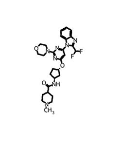 CN1CCC(C(=O)N[C@H]2CC[C@H](Oc3cc(-n4c(C(F)F)nc5ccccc54)nc(N4CCOCC4)n3)C2)CC1